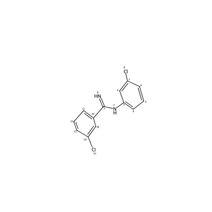 N=C(Nc1cccc(Cl)c1)c1cccc(Cl)c1